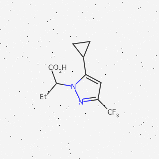 CCC(C(=O)O)n1nc(C(F)(F)F)cc1C1CC1